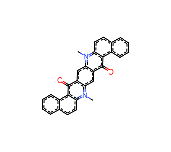 Cn1c2cc3c(=O)c4c5ccccc5ccc4n(C)c3cc2c(=O)c2c3ccccc3ccc21